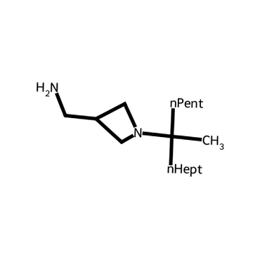 CCCCCCCC(C)(CCCCC)N1CC(CN)C1